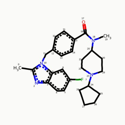 Cc1nc2ccc(F)cc2n1Cc1ccc(C(=O)N(C)C2CCN(C3CCCC3)CC2)cc1